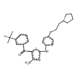 Nc1nc(Nc2ccc(OCCN3CCCC3)cc2)sc1C(=O)c1cccc(C(F)(F)F)c1